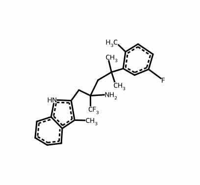 Cc1ccc(F)cc1C(C)(C)CC(N)(Cc1[nH]c2ccccc2c1C)C(F)(F)F